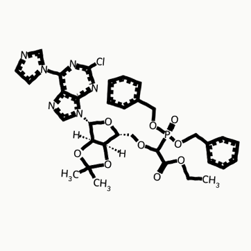 CCOC(=O)C(OC[C@H]1O[C@@H](n2cnc3c(-n4ccnc4)nc(Cl)nc32)[C@@H]2OC(C)(C)O[C@@H]21)P(=O)(OCc1ccccc1)OCc1ccccc1